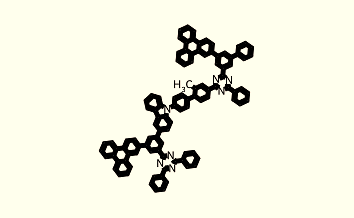 CC1C=C(c2nc(-c3ccccc3)nc(-c3cc(-c4ccccc4)cc(-c4ccc5c6ccccc6c6ccccc6c5c4)c3)n2)C=CC1c1ccc(-n2c3ccccc3c3cc(-c4cc(-c5ccc6c7ccccc7c7ccccc7c6c5)cc(-c5nc(-c6ccccc6)nc(-c6ccccc6)n5)c4)ccc32)cc1